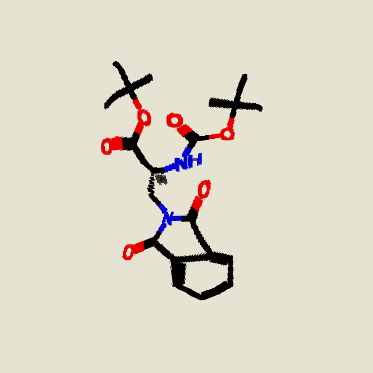 CC(C)(C)OC(=O)N[C@H](CN1C(=O)c2ccccc2C1=O)C(=O)OC(C)(C)C